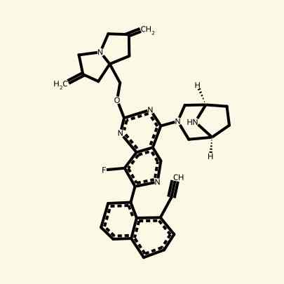 C#Cc1cccc2cccc(-c3ncc4c(N5C[C@H]6CC[C@@H](C5)N6)nc(OCC56CC(=C)CN5CC(=C)C6)nc4c3F)c12